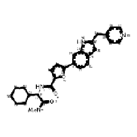 CNC(=O)[C@@H](NC(=O)c1ccc(-c2ccc3cc(Cc4ccncc4)[nH]c3c2)o1)C1CCCCC1